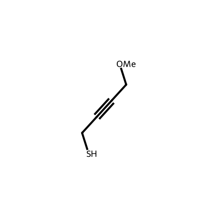 COCC#CCS